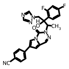 CC(n1ncc2cc(-c3ccc(C#N)cc3)cn2c1=O)C(O)(Cn1cncn1)c1ccc(F)cc1F